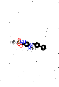 CCCCS(=O)(=O)NC(=O)c1ccc2c(c1)nc(CC)n2Cc1ccc(-c2ccccc2)cc1